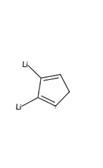 [Li][C]1=[C]CC=[C]1[Li]